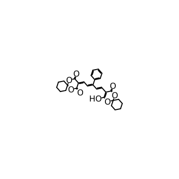 O=C1OC2(CCCCC2)OC(=O)C1=CC=C(C=CC1=C(O)OC2(CCCCC2)OC1=O)c1ccccc1